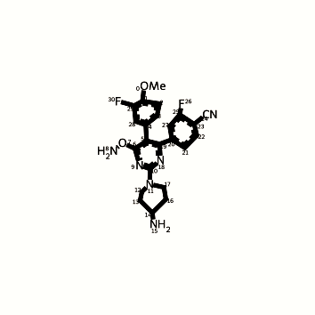 COc1ccc(-c2c(ON)nc(N3CCC(N)CC3)nc2-c2ccc(C#N)c(F)c2)cc1F